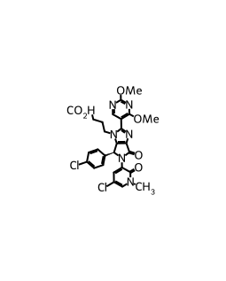 COc1ncc(-c2nc3c(n2CCCC(=O)O)[C@H](c2ccc(Cl)cc2)N(c2cc(Cl)cn(C)c2=O)C3=O)c(OC)n1